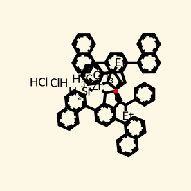 CCC(CC1=Cc2c(-c3cccc4ccccc34)ccc(-c3cccc4ccccc34)c2[CH]1[Zr]([CH3])([CH3])(=[SiH2])[CH]1C(CC(CC)c2ccccc2)=Cc2c(-c3cccc4ccccc34)ccc(-c3cccc4ccccc34)c21)c1ccccc1.Cl.Cl